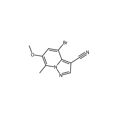 COc1cc(Br)c2c(C#N)cnn2c1C